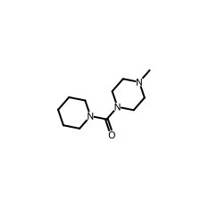 CN1CCN(C(=O)N2CCCCC2)CC1